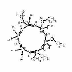 COP1(F)=NP(C)(C)=NP(F)(F)=NP(F)(F)=NP(F)(OC)=NP(F)(OC)=N1